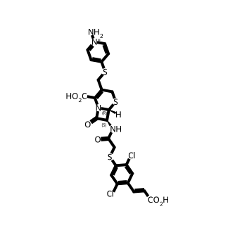 N[n+]1ccc(SCC2=C(C(=O)O)N3C(=O)[C@H](NC(=O)CSc4cc(Cl)c(C=CC(=O)O)cc4Cl)[C@H]3SC2)cc1